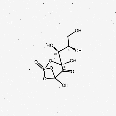 O=C1C2(O)OP(=O)(O2)O[C@@]1(O)[C@@H](O)[C@H](O)CO